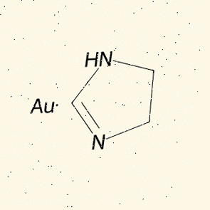 C1=NCCN1.[Au]